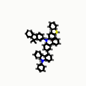 CC1(C)C2=CCCC=C2c2ccc(N(c3ccc4c(c3)C3C=CC=CC3S4)c3ccc(-c4cccc5c4c4ccccc4n5-c4ccccc4)cc3-c3ccccc3)cc21